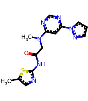 Cc1cnc(NC(=O)CN(C)c2cc(-n3cccn3)ncn2)s1